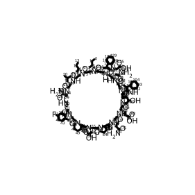 CCCC[C@H]1C(=O)N(C)[C@@H](CCCC)C(=O)N[C@@H](CC(C)C)C(=O)N[C@H](C(N)=O)CNCC(=O)N[C@@H](Cc2ccc(F)cc2)C(=O)N2CCCC[C@H]2C(=O)N[C@@H](CC(=O)O)C(=O)N2CCC[C@H]2C(=O)N[C@@H](CCC(N)=O)C(=O)N[C@@H](CCC(=O)O)C(=O)N2C[C@H](O)C[C@H]2C(=O)N[C@@H](Cc2c[nH]c3ccccc23)C(=O)N[C@@H](CC(N)=O)C(=O)N[C@@H](Cc2cn(CC(=O)O)c3ccccc23)C(=O)N1C